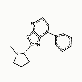 CN1CCC[C@H]1c1nc2c(-c3ccccc3)ccnc2s1